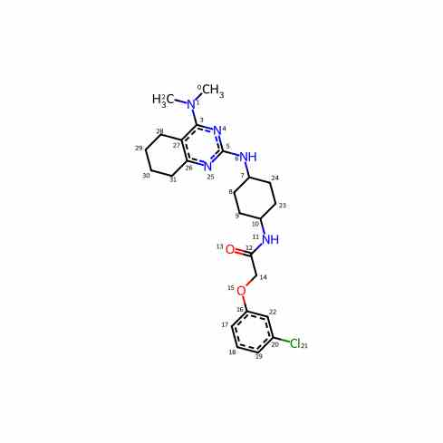 CN(C)c1nc(NC2CCC(NC(=O)COc3cccc(Cl)c3)CC2)nc2c1CCCC2